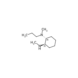 CCCN(C)[C@@H]1CCCC[C@H]1NC